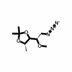 CO[C@@H](CN=[N+]=[N-])C1OC(C)(C)O[C@H]1C